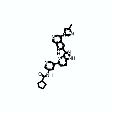 Cc1cn(-c2cncc3[nH]c(-c4n[nH]c5ccc(-c6cncc(NC(=O)C7CCCC7)c6)nc45)cc23)cn1